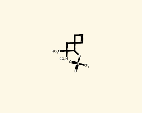 O=C(O)C1(C(=O)O)CC2(C=CC2)C1OS(=O)(=O)C(F)(F)F